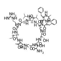 CC[C@H](C)[C@@H]1NC(=O)[C@@H](CCCNC(=N)N)NC(=O)[C@H](CC(C)C)NC(=O)[C@H]([C@H](O)C(C)C)NC(=O)[C@@H](NC(=O)[C@H](Cc2ccccc2)NC(=O)[C@@H](Cc2ccccc2)NC(C)=O)CNC(=O)[C@H](CO)NC(=O)C([C@H](O)C(N)=O)NC(=O)CNC(=O)[C@H]([C@H](C)O)NC1=O